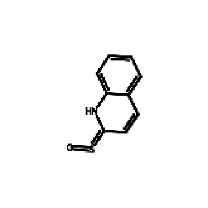 O=S=c1ccc2ccccc2[nH]1